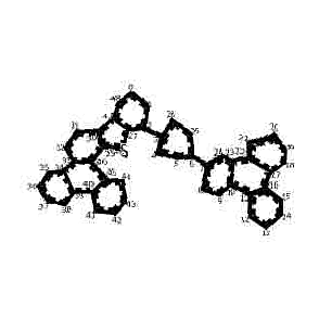 c1cc(-c2ccc(-c3ccc4c5ccccc5c5ccccc5c4c3)cc2)c2sc3c(ccc4c5ccccc5c5ccccc5c43)c2c1